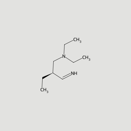 CC[C@H](C=N)CN(CC)CC